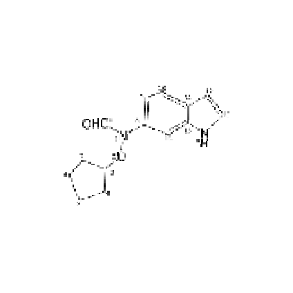 O=CN(OC1CCCC1)c1ccc2cc[nH]c2c1